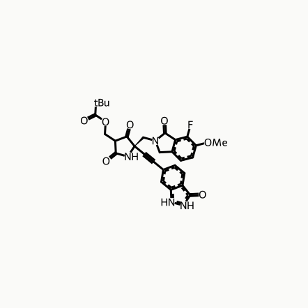 COc1ccc2c(c1F)C(=O)N(C[C@@]1(C#Cc3ccc4c(=O)[nH][nH]c4c3)NC(=O)C(COC(=O)C(C)(C)C)C1=O)C2